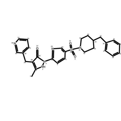 Cc1[nH]n(-c2ccc(S(=O)(=O)N3CCC(Cc4ccccc4)CC3)cn2)c(=O)c1Cc1cccnc1